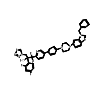 OC(Cn1cnnn1)(c1ccc(F)cc1F)C(F)(F)c1ccc(-c2ccc(N3CCN(c4ccc5ncn(Cc6ccccc6)c5c4)CC3)cc2)cn1